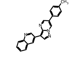 Cc1ccc(-c2cnc3c(-c4cnc5ccccc5c4)cnn3c2)cc1